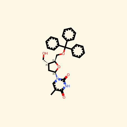 Cc1cn([C@H]2C[C@H](CO)[C@@H](COC(c3ccccc3)(c3ccccc3)c3ccccc3)O2)c(=O)[nH]c1=O